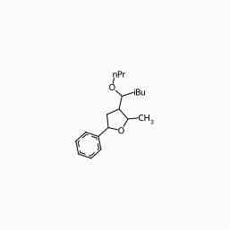 CCCOC(C(C)CC)C1CC(c2ccccc2)OC1C